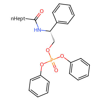 CCCCCCCC(=O)N[C@@H](COP(=O)(Oc1ccccc1)Oc1ccccc1)c1ccccc1